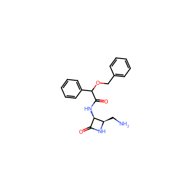 NC[C@H]1NC(=O)[C@H]1NC(=O)C(OCc1ccccc1)c1ccccc1